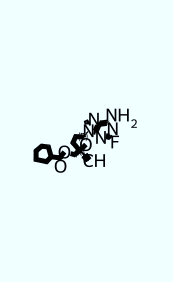 C#C[C@@]1(COC(=O)C2CCCCC2)CC[C@H](n2cnc3c(N)nc(F)nc32)O1